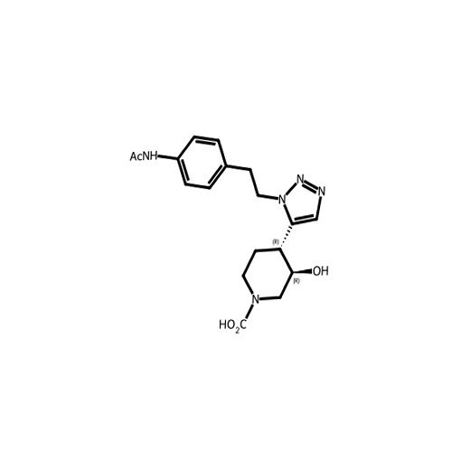 CC(=O)Nc1ccc(CCn2nncc2[C@H]2CCN(C(=O)O)C[C@@H]2O)cc1